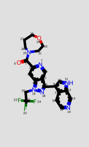 O=C(c1cc2c(cn1)c(-c1c[nH]c3cnccc13)nn2CC(F)(F)F)N1CCCOCC1